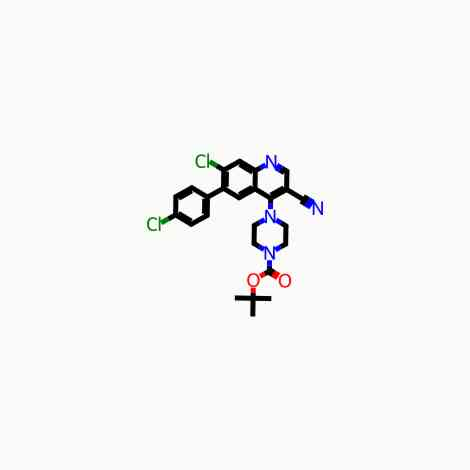 CC(C)(C)OC(=O)N1CCN(c2c(C#N)cnc3cc(Cl)c(-c4ccc(Cl)cc4)cc23)CC1